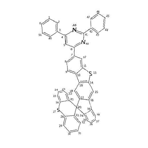 c1ccc(-c2cc(-c3ccc4c(c3)sc3cc5c(cc34)C3(c4ccccc4Sc4ccccc43)c3ccccc3-5)nc(-c3ccccc3)n2)cc1